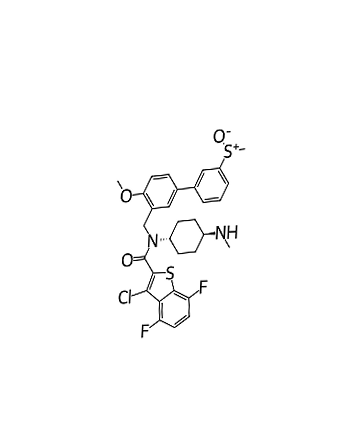 CN[C@H]1CC[C@H](N(Cc2cc(-c3cccc([S+](C)[O-])c3)ccc2OC)C(=O)c2sc3c(F)ccc(F)c3c2Cl)CC1